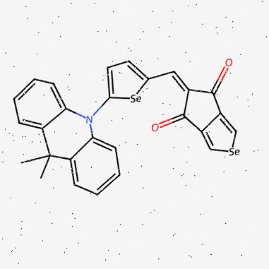 CC1(C)c2ccccc2N(c2ccc(C=C3C(=O)c4c[se]cc4C3=O)[se]2)c2ccccc21